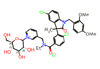 CCN(Cc1ccc[n+](C2O[C@H](CO)[C@@H](O)[C@H](O)[C@H]2O)c1)C(=O)c1ccc(Cl)c(C2(C)C(=O)N(Cc3ccc(OC)cc3OC)c3ccc(Cl)cc32)c1.[Cl-]